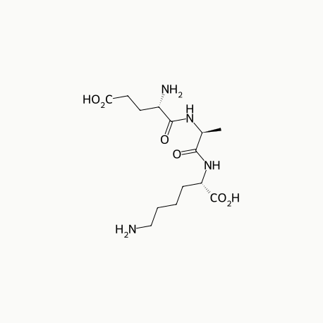 C[C@H](NC(=O)[C@@H](N)CCC(=O)O)C(=O)N[C@@H](CCCCN)C(=O)O